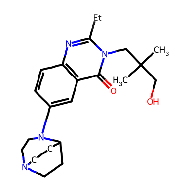 CCc1nc2ccc(N3CCN4CCC3CC4)cc2c(=O)n1CC(C)(C)CO